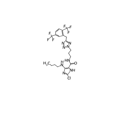 CCCCNc1nc(Cl)[nH]c1C(=O)NCCCn1nnc(Cc2cc(C(F)(F)F)ccc2C(F)(F)F)n1